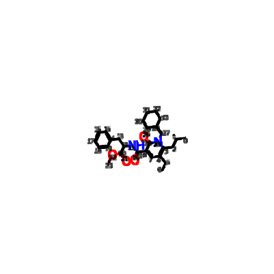 CCCc1c(CC)cc(C(=O)NC(Cc2ccccc2)C(=O)OC)c(=O)n1CC1CCCCC1